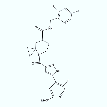 COc1cc(-c2cc(C(=O)N3CC[C@H](C(=O)NCc4ncc(F)cc4F)CC34CC4)n[nH]2)c(F)cn1